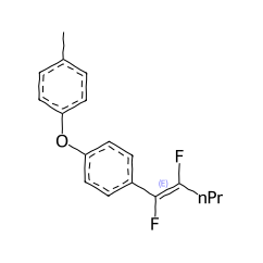 CCC/C(F)=C(\F)c1ccc(Oc2ccc(C)cc2)cc1